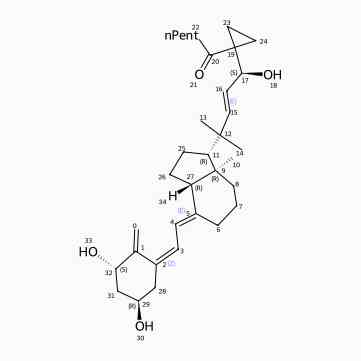 C=C1/C(=C\C=C2/CCC[C@]3(C)[C@@H](C(C)(C)/C=C/[C@H](O)C4(C(=O)CCCCC)CC4)CC[C@@H]23)C[C@@H](O)C[C@@H]1O